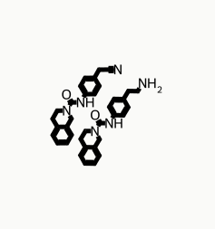 N#CCc1ccc(NC(=O)N2CCc3ccccc3C2)cc1.NCCc1ccc(NC(=O)N2CCc3ccccc3C2)cc1